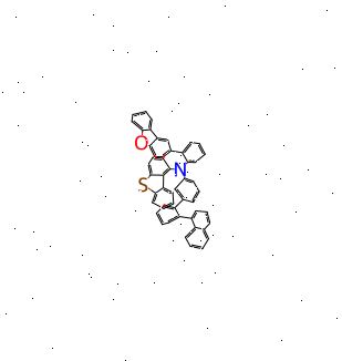 c1cc(-c2ccccc2-c2cccc3ccccc23)cc(N(c2ccccc2-c2ccc3oc4ccccc4c3c2)c2cccc3sc4ccccc4c23)c1